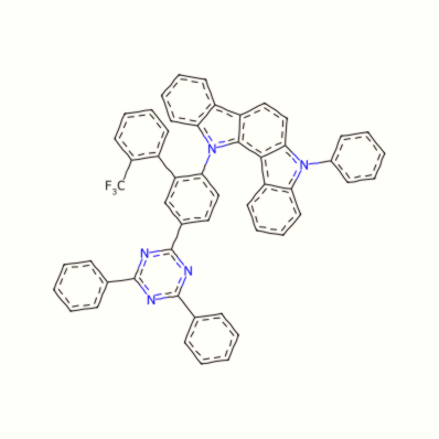 FC(F)(F)c1ccccc1-c1cc(-c2nc(-c3ccccc3)nc(-c3ccccc3)n2)ccc1-n1c2ccccc2c2ccc3c(c4ccccc4n3-c3ccccc3)c21